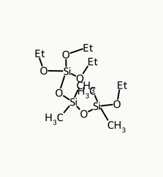 CCO[Si](C)(C)O[Si](C)(C)O[Si](OCC)(OCC)OCC